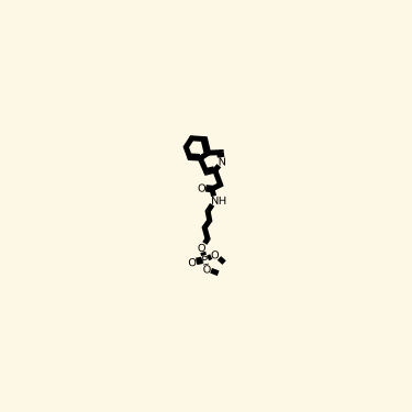 COP(=O)(OC)OCCCCNC(=O)Cc1cc2c(cn1)=CCCC=2